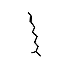 CC=CCCCCCC(C)I